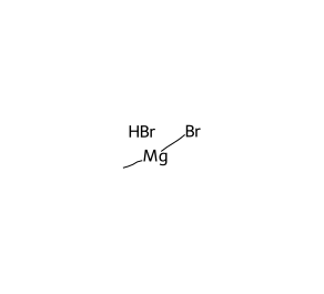 Br.[CH3][Mg][Br]